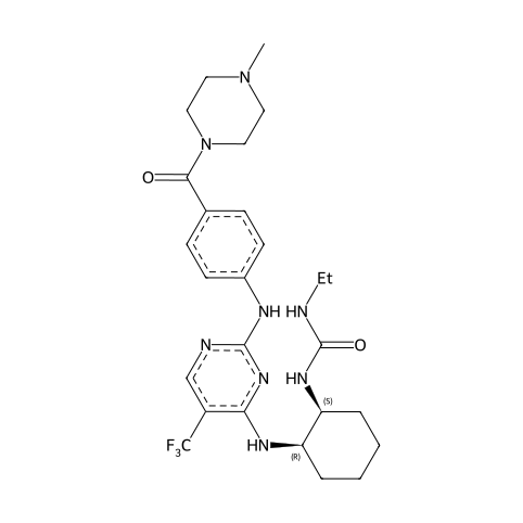 CCNC(=O)N[C@H]1CCCC[C@H]1Nc1nc(Nc2ccc(C(=O)N3CCN(C)CC3)cc2)ncc1C(F)(F)F